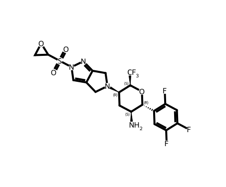 N[C@H]1C[C@@H](N2Cc3cn(S(=O)(=O)C4CO4)nc3C2)[C@@H](C(F)(F)F)O[C@@H]1c1cc(F)c(F)cc1F